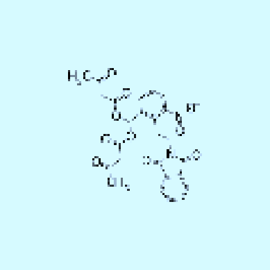 CC(=O)CC(=O)OC(OC(=O)CC(C)=O)c1cccc([N+](=O)[O-])c1CCN1C(=O)c2ccccc2C1=O